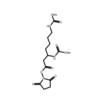 COC(=O)NCCCCC(CC(=O)ON1C(=O)CCC1=O)NC(=O)OC